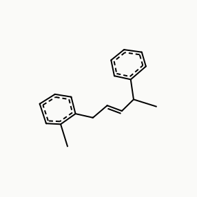 Cc1ccccc1CC=CC(C)c1ccccc1